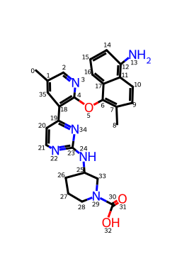 Cc1cnc(Oc2c(C)ccc3c(N)cccc23)c(-c2ccnc(NC3CCCN(C(=O)O)C3)n2)c1